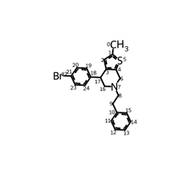 Cc1cc2c(s1)CN(CCc1ccccc1)CC2c1ccc(Br)cc1